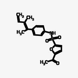 C=C/C(C)=C(\C)c1ccc(NS(=O)(=O)c2ccc(C(C)=O)o2)cc1